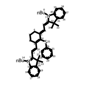 CCCCN1/C(=C/C=C2\CCCC(/C=C/C3=[N+](CCCC)c4ccccc4C3(C)C)=C2Sc2ccccc2)C(C)(C)c2ccccc21